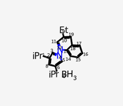 B.CC(C)c1cncc(C(C)C)c1.CCc1cnc2ccccc2c1